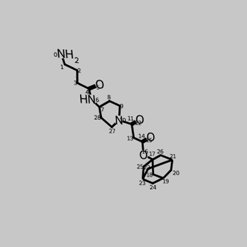 NCCCC(=O)NC1CCN(C(=O)CC(=O)OC23CC4CC(CC(C4)C2)C3)CC1